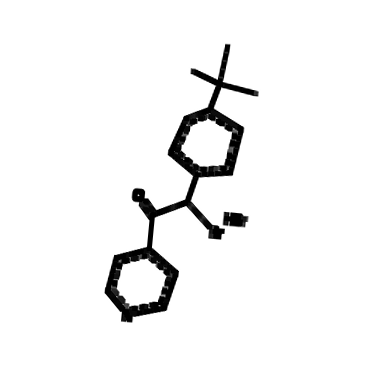 Br.CC(C)(C)c1ccc(C(Br)C(=O)c2ccncc2)cc1